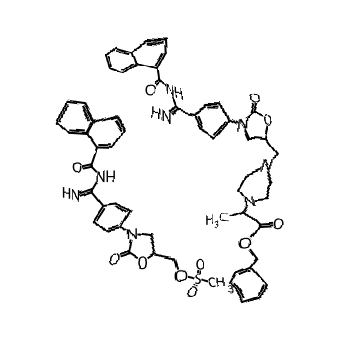 CC(C(=O)OCc1ccccc1)N1CCN(CC2CN(c3ccc(C(=N)NC(=O)c4cccc5ccccc45)cc3)C(=O)O2)CC1.CS(=O)(=O)OCC1CN(c2ccc(C(=N)NC(=O)c3cccc4ccccc34)cc2)C(=O)O1